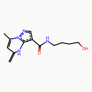 C=C1C=C(C)n2ncc(C(=O)NCCCCO)c2N1